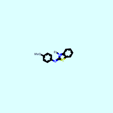 CCn1c(=Nc2ccc(OC)cc2)sc2ccccc21